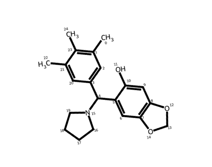 Cc1cc(C(c2cc3c(cc2O)OCO3)N2CCCC2)cc(C)c1C